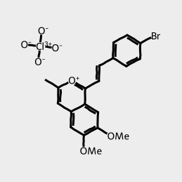 COc1cc2cc(C)[o+]c(C=Cc3ccc(Br)cc3)c2cc1OC.[O-][Cl+3]([O-])([O-])[O-]